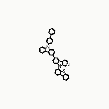 c1ccc(-c2ccc(-n3c4ccccc4c4cc(-c5ccc6c(c5)c5ccncc5n6-c5cccc6c5sc5ccccc56)ccc43)cc2)cc1